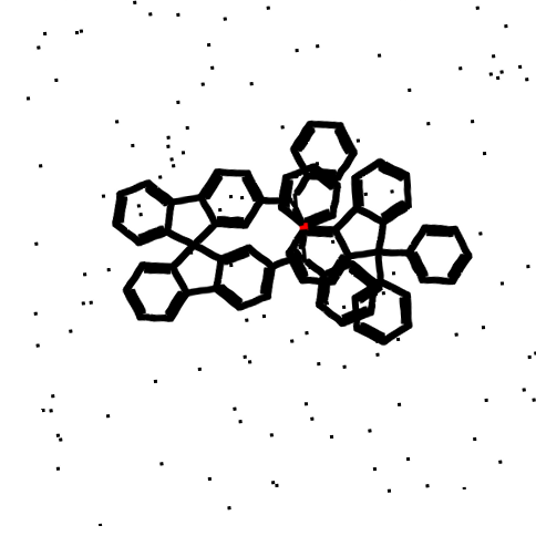 c1ccc(N(c2ccccc2)c2ccc3c(c2)C2(c4ccccc4-3)c3ccccc3-c3ccc(N(c4ccccc4)c4cccc5c4-c4ccccc4C5(c4ccccc4)c4ccccc4)cc32)cc1